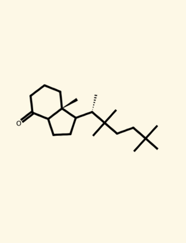 C[C@@H](C1CCC2C(=O)CCC[C@@]21C)C(C)(C)CCC(C)(C)C